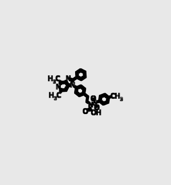 Cc1ccc(S(=O)(=O)N(CCc2ccc(-n3c(-c4ccccc4)nc4c(C)nc(C)cc43)cc2)C(=O)O)cc1